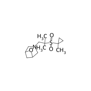 CC(C)(CN1CC2CC(C1)O2)S(=O)(=O)C1(C)CC1